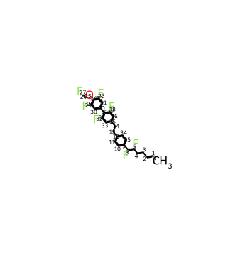 C/C=C/CC/C(F)=C(\F)c1ccc(CCc2cc(F)c(-c3cc(F)c(OCF)c(F)c3)c(F)c2)cc1